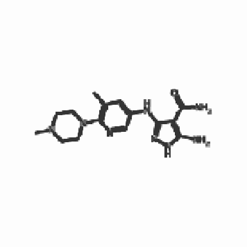 Cc1cc(Nc2n[nH]c(N)c2C(N)=O)cnc1N1CCN(C)CC1